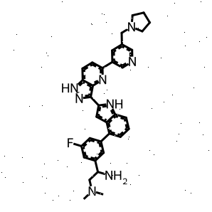 CN(C)CC(N)c1cc(F)cc(-c2cccc3[nH]c(-c4n[nH]c5ccc(-c6cncc(CN7CCCC7)c6)nc45)cc23)c1